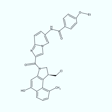 CCOc1ccc(C(=O)Nc2ccc3nc(C(=O)N4C[C@@H](CCl)c5c4cc(O)c4cccc(C)c54)cn3c2)cc1